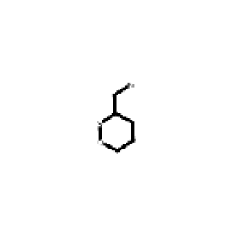 BrCC1CCCOS1